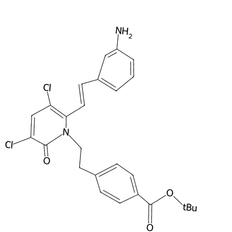 CC(C)(C)OC(=O)c1ccc(CCn2c(C=Cc3cccc(N)c3)c(Cl)cc(Cl)c2=O)cc1